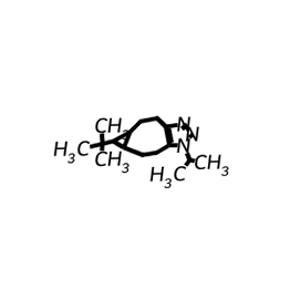 CC(C)n1nnc2c1CCC1C(CC2)C1C(C)(C)C